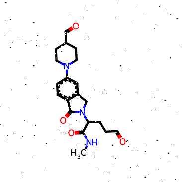 CNC(=O)C(CCC=O)N1Cc2cc(N3CCC(C=O)CC3)ccc2C1=O